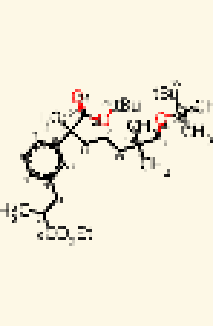 CCOC(=O)C(C)Cc1cccc(C(C)(CCCC(C)(C)CO[Si](C)(C)C(C)(C)C)C(=O)OC(C)(C)C)c1